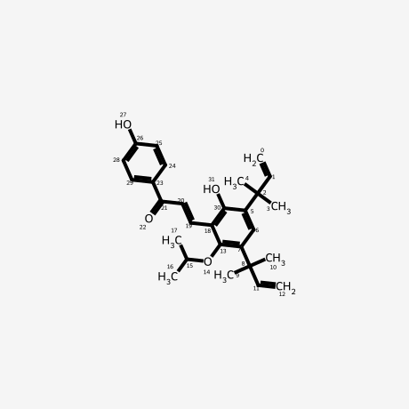 C=CC(C)(C)c1cc(C(C)(C)C=C)c(OC(C)C)c(C=CC(=O)c2ccc(O)cc2)c1O